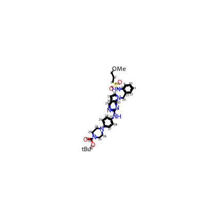 COCCCS(=O)(=O)Nc1ccccc1Cn1ccc2cnc(Nc3ccc(N4CCN(C(=O)OC(C)(C)C)CC4)cc3)nc21